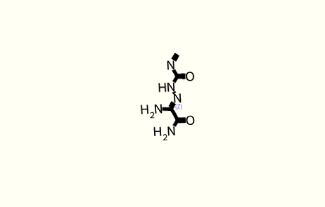 C=NC(=O)N/N=C(\N)C(N)=O